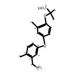 CCOC(=O)C(C)(C)Oc1ccc(Oc2ccc(C)c(CN)c2)cc1C